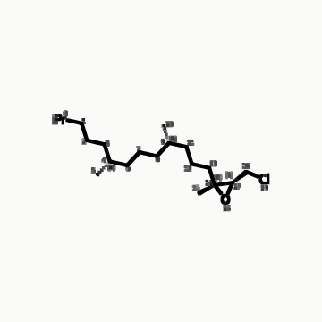 CC(C)CCC[C@@H](C)CCC[C@H](C)CCC[C@@]1(C)O[C@@H]1CCl